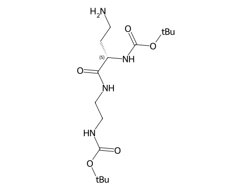 CC(C)(C)OC(=O)NCCNC(=O)[C@H](CCN)NC(=O)OC(C)(C)C